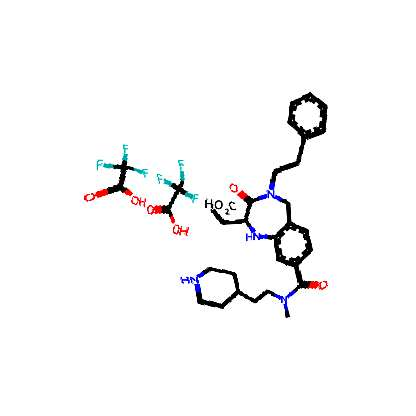 CN(CCC1CCNCC1)C(=O)c1ccc2c(c1)NC(CC(=O)O)C(=O)N(CCc1ccccc1)C2.O=C(O)C(F)(F)F.O=C(O)C(F)(F)F